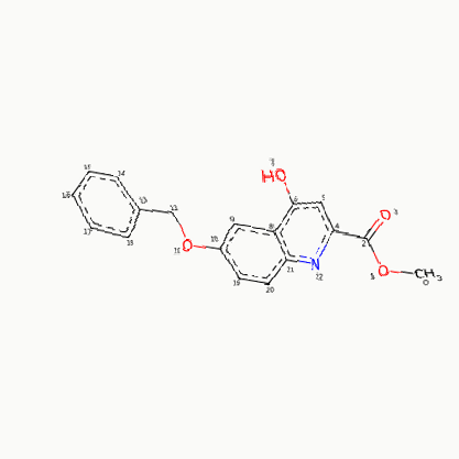 COC(=O)c1cc(O)c2cc(OCc3ccccc3)ccc2n1